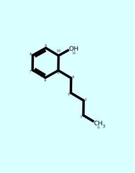 CCCCCC1C=CC=CC1O